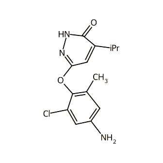 Cc1cc(N)cc(Cl)c1Oc1cc(C(C)C)c(=O)[nH]n1